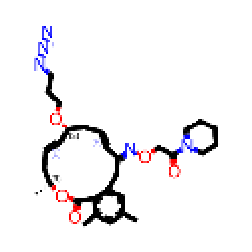 Cc1cc(C)c2c(c1)CC(=NOCC(=O)N1CCCCC1)/C=C/C[C@H](OCCCN=[N+]=[N-])/C=C/C[C@@H](C)OC2=O